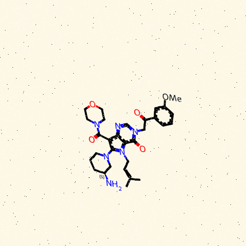 COc1cccc(C(=O)Cn2cnc3c(C(=O)N4CCOCC4)c(N4CCC[C@H](N)C4)n(CC=C(C)C)c3c2=O)c1